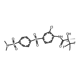 CN(C)S(=O)(=O)c1ccc(S(=O)(=O)c2ccc(NC(=O)[C@@](C)(O)C(F)(F)F)c(Cl)c2)cc1